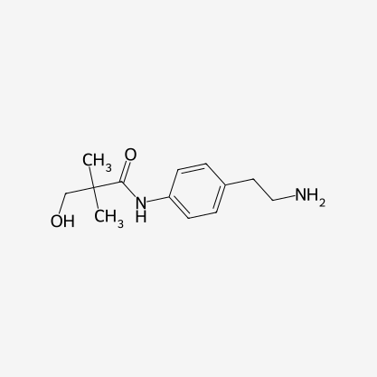 CC(C)(CO)C(=O)Nc1ccc(CCN)cc1